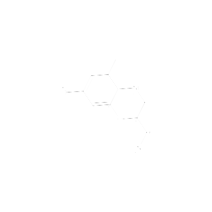 CC1C=C(Cl)C=C2OC(CN)CNC21